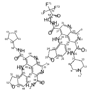 Cc1nc(C(=O)NC2CCN(C)CC2)cc2c(Nc3cccc4c3CCO4)c(C(N)=O)cnc12.Cc1nc(C(N)=O)cc2c(Nc3cccc4c3CCO4)c(C(=O)NCC3CCCC3)cnc12.O=C(O)C(F)(F)F